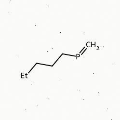 C=PCCCCC